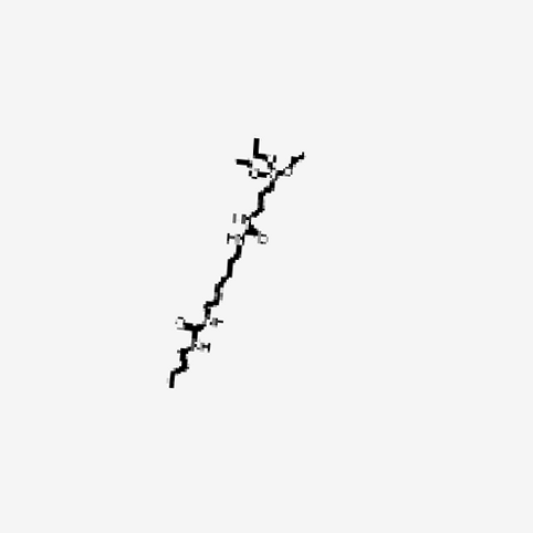 CCCCNC(=O)NCCCCCCNC(=O)NCCC[Si](OCC)(OCC)OCC